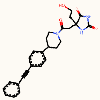 O=C1NC(=O)C(CCO)(CC(=O)N2CCC(c3ccc(C#Cc4ccccc4)cc3)CC2)N1